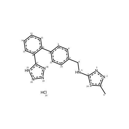 Cc1nnc(NCc2ccc(-c3ccccc3-c3nnn[nH]3)cc2)s1.Cl